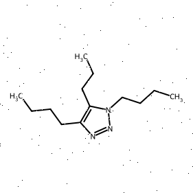 CCCCc1nnn(CCCC)c1CCC